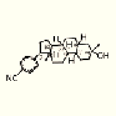 C[C@@]1(O)CC[C@H]2[C@H](CC[C@@H]3[C@@H]2CC[C@]2(C)[C@@H](c4ccc(C#N)cc4)CC[C@@H]32)C1